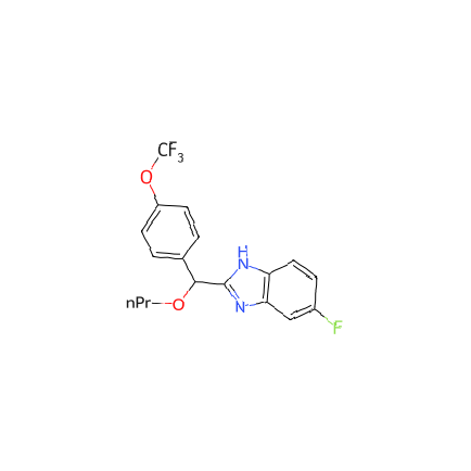 CCCOC(c1ccc(OC(F)(F)F)cc1)c1nc2cc(F)ccc2[nH]1